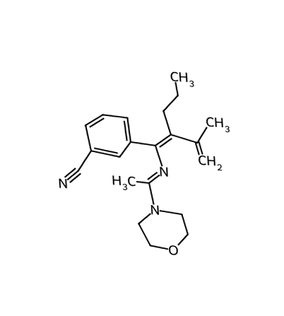 C=C(C)/C(CCC)=C(\N=C(/C)N1CCOCC1)c1cccc(C#N)c1